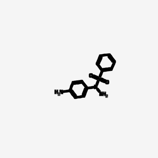 Nc1ccc(N(N)S(=O)(=O)c2ccccc2)cc1